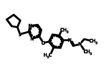 CCN(C)C=Nc1cc(C)c(Oc2ccnc(SC3CCCC3)n2)cc1C